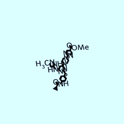 COC(=O)c1cnc(N2CCN(c3cc(Nc4cc(C)n[nH]4)nc(Sc4ccc(NC(=O)C5CC5)cc4)n3)CC2)nc1